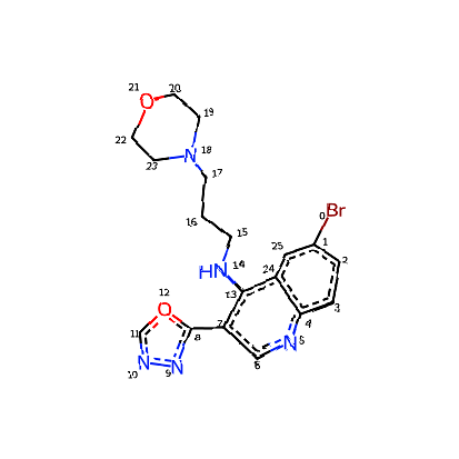 Brc1ccc2ncc(-c3nnco3)c(NCCCN3CCOCC3)c2c1